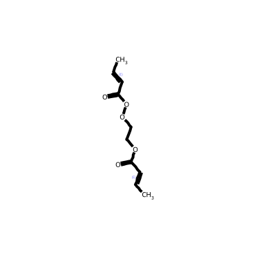 C/C=C/C(=O)OCCOOC(=O)/C=C/C